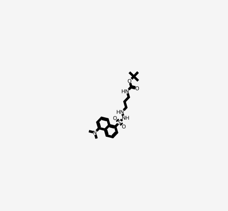 CN(C)c1cccc2c(S(=O)(=O)NNCCCNC(=O)OC(C)(C)C)cccc12